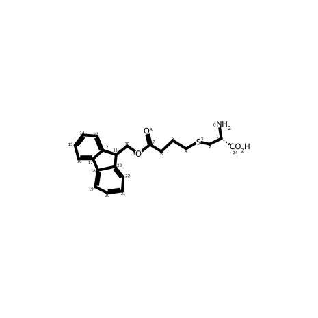 N[C@@H](CSCCCC(=O)OCC1c2ccccc2-c2ccccc21)C(=O)O